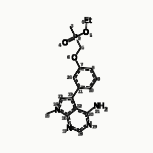 CCOP(C)(=O)COc1cccc(-c2cn(C)c3ncnc(N)c23)c1